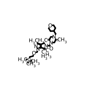 Cc1nn(COCC[Si](C)(C)C)c2c1CN(C(=O)N1C[C@@H](C)N(CC3CCOCC3)C[C@@H]1C)C2(C)C